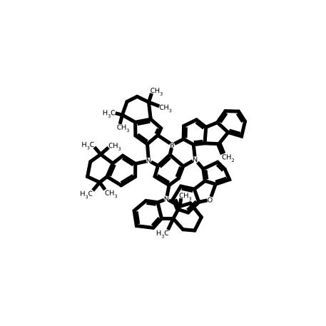 C=C1c2ccccc2-c2ccc3c(c21)N(c1cccc2oc4ccccc4c12)c1cc(N2c4ccccc4C4(C)CCCCC24C)cc2c1B3c1cc3c(cc1N2c1ccc2c(c1)C(C)(C)CCC2(C)C)C(C)(C)CCC3(C)C